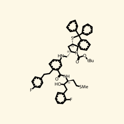 CSCC[C@H](NC(=O)c1cc(NC[C@@H]2C[C@H](SC(c3ccccc3)(c3ccccc3)c3ccccc3)CN2C(=O)OC(C)(C)C)ccc1CCc1ccc(F)cc1)C(O)Cc1ccccc1F